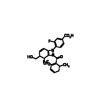 CC1CC=CC(C(F)(F)F)=C1C(=O)n1c2c(n1-c1ccc(C(=O)O)cc1F)C=CC(CO)C2C